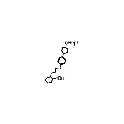 CCCCCCCC1CCC(c2ccc(OCCCC3CCCCC3CCCC)cc2)CC1